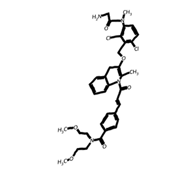 COCCN(CCOC)C(=O)c1ccc(C=CC(=O)N2C(C)=C(OCc3c(Cl)ccc(N(C)C(=O)CN)c3Cl)Cc3ccccc32)cc1